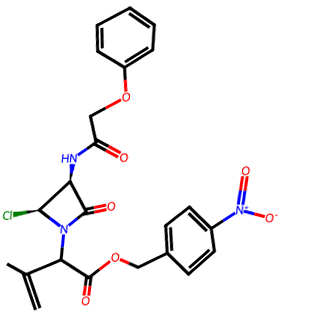 C=C(C)C(C(=O)OCc1ccc([N+](=O)[O-])cc1)N1C(=O)[C@H](NC(=O)COc2ccccc2)[C@@H]1Cl